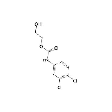 O=C(Nc1ccc(Cl)c(Cl)c1)OCCO